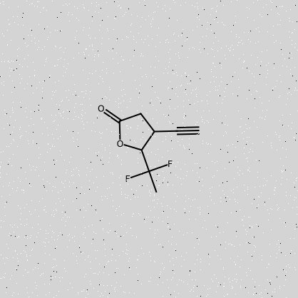 C#CC1CC(=O)OC1C(C)(F)F